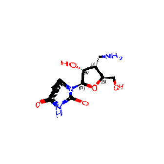 NC[C@H]1[C@@H](O)[C@H](n2ccc(=O)[nH]c2=O)O[C@@H]1CO